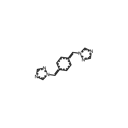 C(=c1ccc(=Cn2cncn2)cc1)n1cncn1